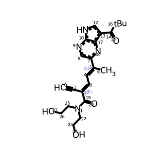 C#C/C(=C\C=C(/C)c1cnc2[nH]cc(C(=O)C(C)(C)C)c2n1)C(=O)N(CCO)CCO